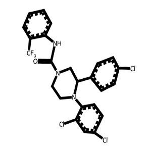 O=C(Nc1ccccc1C(F)(F)F)N1CCN(c2ccc(Cl)cc2Cl)C(c2ccc(Cl)cc2)C1